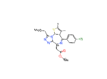 COCc1nnc2n1C1SC(C)=C(C)C1C(c1ccc(Cl)cc1)=N[C@H]2CC(=O)OC(C)(C)C